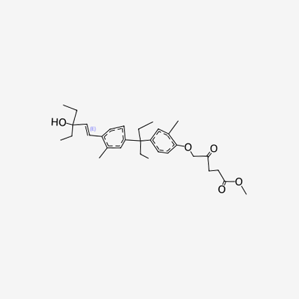 CCC(O)(/C=C/c1ccc(C(CC)(CC)c2ccc(OCC(=O)CCC(=O)OC)c(C)c2)cc1C)CC